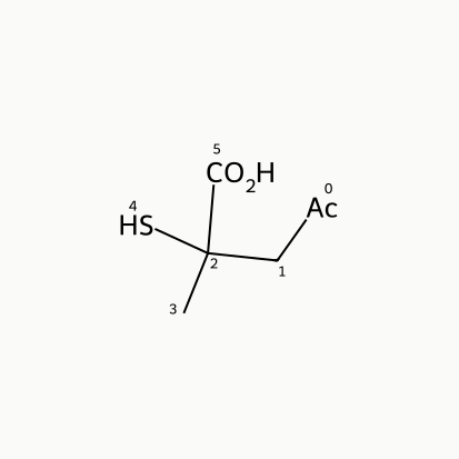 CC(=O)CC(C)(S)C(=O)O